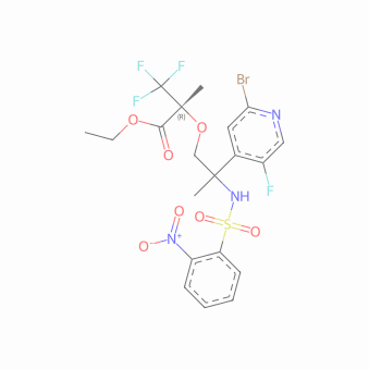 CCOC(=O)[C@@](C)(OCC(C)(NS(=O)(=O)c1ccccc1[N+](=O)[O-])c1cc(Br)ncc1F)C(F)(F)F